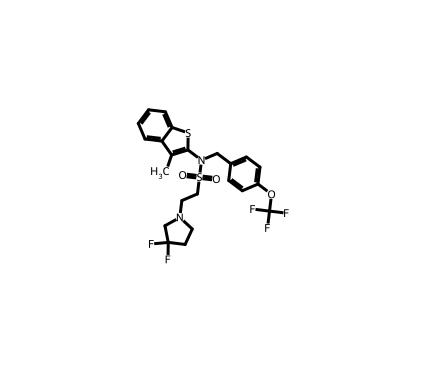 Cc1c(N(Cc2ccc(OC(F)(F)F)cc2)S(=O)(=O)CCN2CCC(F)(F)C2)sc2ccccc12